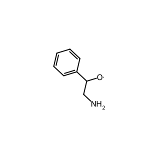 NCC([O])c1ccccc1